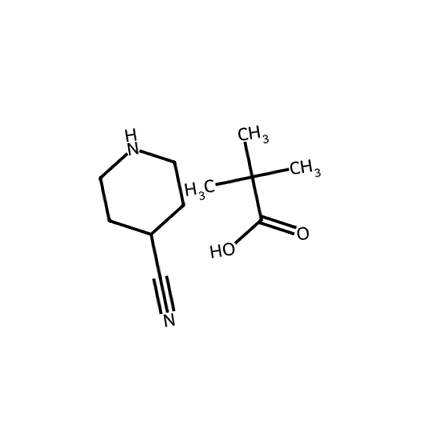 CC(C)(C)C(=O)O.N#CC1CCNCC1